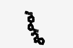 COc1ccc(-c2cccc(NC(=O)Cn3cnc4ccccc43)c2)cc1